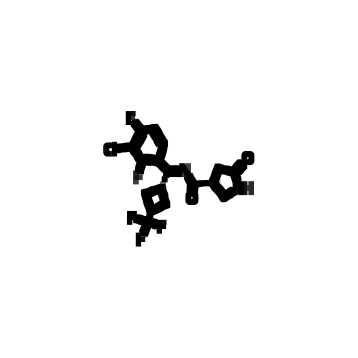 O=C1C[C@H](C(=O)N=C(c2ccc(F)c(Cl)c2F)[C@H]2C[C@H](C(F)(F)F)C2)CN1